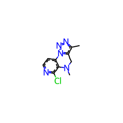 Cc1nnn2c1CN(C)c1c-2ccnc1Cl